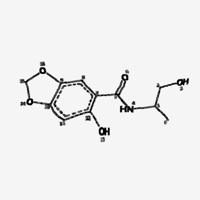 CC(CO)NC(=O)c1cc2c(cc1O)OCO2